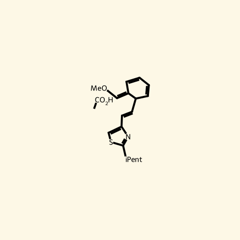 CC(=O)O.CCCC(C)c1nc(C=CC2C=CC=CC2=COC)cs1